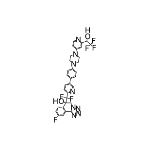 OC(c1cc(N2CCN(c3ccc(-c4ccc(C(F)(F)[C@]5(O)Cn6nnnc6-c6cc(F)ccc65)nc4)cc3)CC2)ccn1)C(F)(F)F